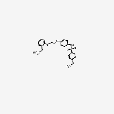 O=C(O)Cc1ccccc1OCCOc1ccc(NS(=O)(=O)c2ccc(OC(F)(F)F)cc2)cc1